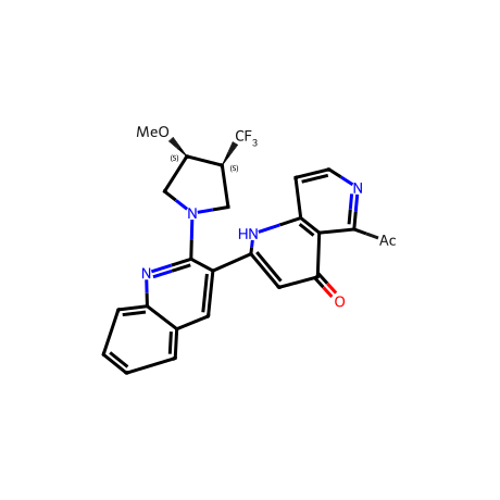 CO[C@@H]1CN(c2nc3ccccc3cc2-c2cc(=O)c3c(C(C)=O)nccc3[nH]2)C[C@@H]1C(F)(F)F